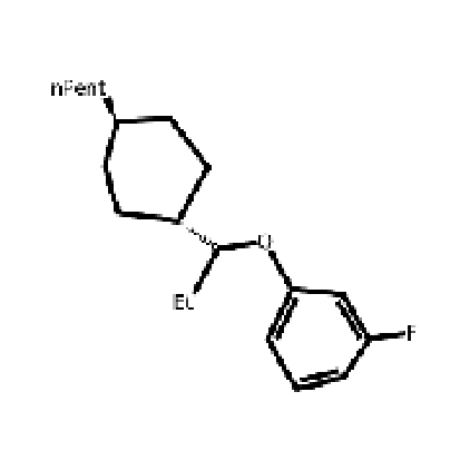 CCCCC[C@H]1CC[C@H](C(CC)Oc2cccc(F)c2)CC1